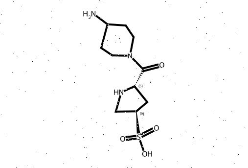 NC1CCN(C(=O)[C@@H]2C[C@@H](S(=O)(=O)O)CN2)CC1